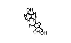 OCC1OC(n2cnc3c(O)ncnc32)C(F)[C@@H]1O